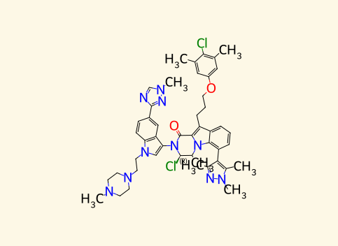 Cc1cc(OCCCc2c3n(c4c(-c5c(C)nn(C)c5C)cccc24)C(C)[C@@H](Cl)N(c2cn(CCN4CCN(C)CC4)c4ccc(-c5ncn(C)n5)cc24)C3=O)cc(C)c1Cl